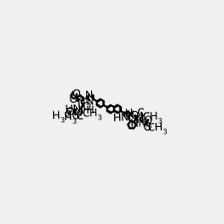 COC(=O)N[C@H](C(=O)N1CC2(C[C@H]1c1ncc(-c3ccc(-c4ccc5cc(-c6cnc(C7CCCCC7C(=O)N(NC(=O)OC)C(C)C)[nH]6)ccc5c4)cc3)[nH]1)OCCO2)C(C)C